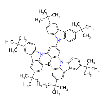 CC(C)(C)c1ccc2c(c1)c1cc(C(C)(C)C)ccc1n2-c1cc2c3c(c1)-n1c4ccc(C(C)(C)C)cc4c4cc(C(C)(C)C)cc(c41)B3c1cc(C(C)(C)C)cc3c4cc(C(C)(C)C)ccc4n-2c13